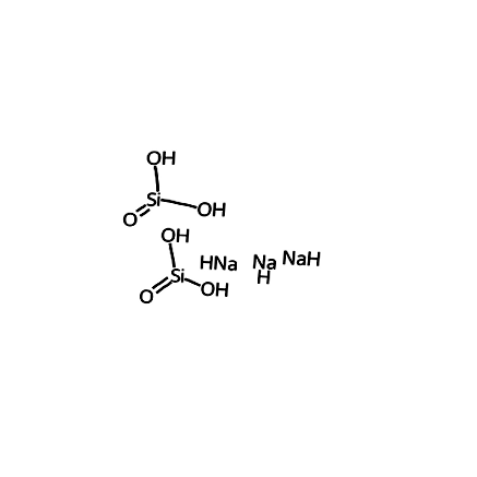 O=[Si](O)O.O=[Si](O)O.[NaH].[NaH].[NaH]